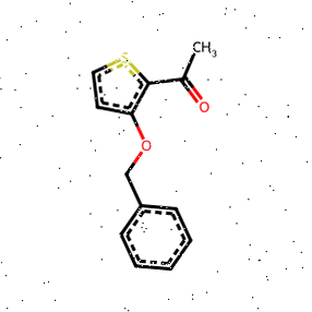 CC(=O)c1sccc1OCc1ccccc1